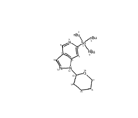 CCC[CH2][Sn]([CH2]CCC)([CH2]CCC)[c]1cc2c(cn1)cnn2C1CCCCO1